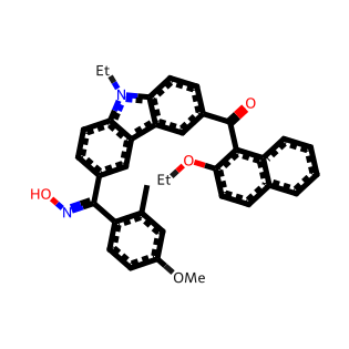 CCOc1ccc2ccccc2c1C(=O)c1ccc2c(c1)c1cc(/C(=N\O)c3ccc(OC)cc3C)ccc1n2CC